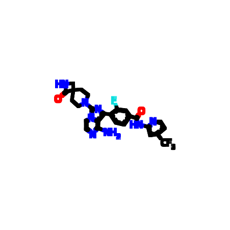 Nc1nccn2c(N3CCC4(CC3)CNC4=O)nc(-c3ccc(C(=O)Nc4cc(C(F)(F)F)ccn4)cc3F)c12